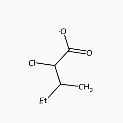 CCC(C)C(Cl)C([O])=O